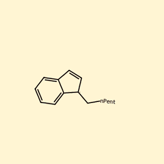 CCCCCC[C]1C=Cc2ccccc21